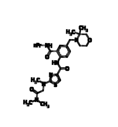 CCCNC(=O)c1cc(CN2CCOCC2(C)C)ccc1NC(=O)c1csc(N(C)CC(=O)N(C)C)n1